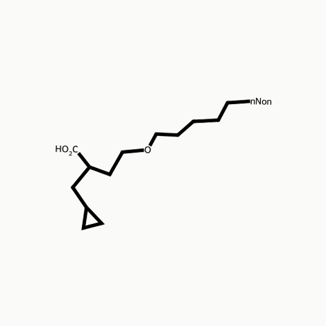 CCCCCCCCCCCCCCOCCC(CC1CC1)C(=O)O